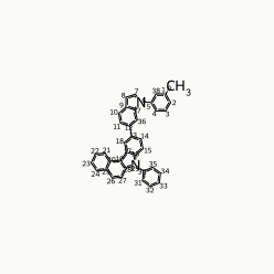 Cc1cccc(-n2ccc3ccc(-c4ccc5c(c4)c4c6ccccc6ccc4n5-c4ccccc4)cc32)c1